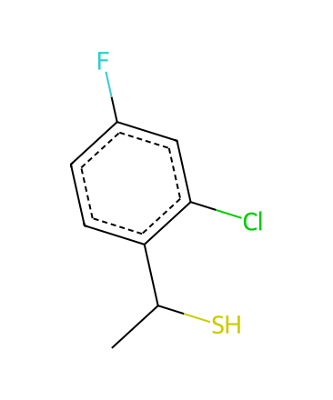 CC(S)c1ccc(F)cc1Cl